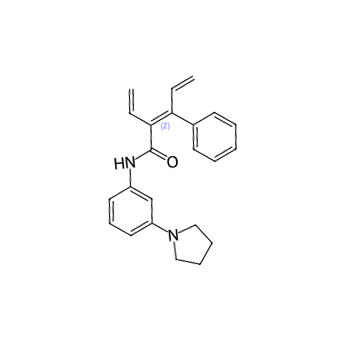 C=C/C(C(=O)Nc1cccc(N2CCCC2)c1)=C(\C=C)c1ccccc1